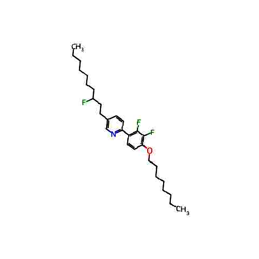 CCCCCCCCOc1ccc(-c2ccc(CCC(F)CCCCCCC)cn2)c(F)c1F